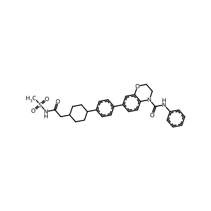 CS(=O)(=O)NC(=O)CC1CCC(c2ccc(-c3ccc4c(c3)OCCN4C(=O)Nc3ccccc3)cc2)CC1